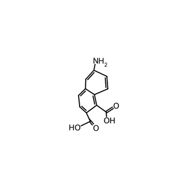 Nc1ccc2c(C(=O)O)c(C(=O)O)ccc2c1